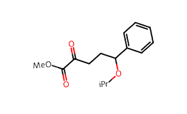 COC(=O)C(=O)CCC(OC(C)C)c1ccccc1